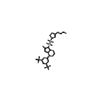 CCCCC1CCC(S(C)(C)S(C)(C)C2C(C)CC3C(C4CC(C(C)(C)C)CC(C(C)(C)C)C4)CCCC32)C1